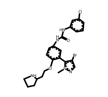 Cn1ncc(Br)c1-c1cc(NC(=O)Nc2cccc(Cl)c2)ccc1OCCC1CCCN1